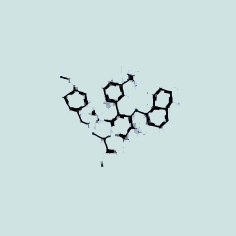 COC(=O)C1CN(Cc2ccc(OC)cc2)S(=O)(=O)c2c(-c3cccc(C(F)(F)F)c3)c(Cc3cccc4ccccc34)c(Br)c(=O)n21